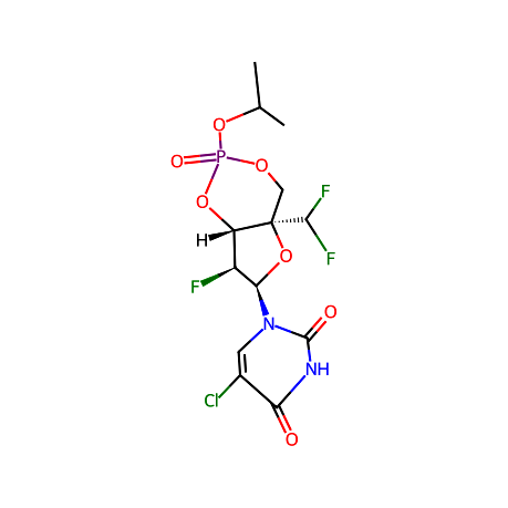 CC(C)OP1(=O)OC[C@@]2(C(F)F)O[C@@H](n3cc(Cl)c(=O)[nH]c3=O)[C@@H](F)[C@@H]2O1